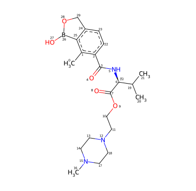 Cc1c(C(=O)N[C@H](C(=O)OCCN2CCN(C)CC2)C(C)C)ccc2c1B(O)OC2